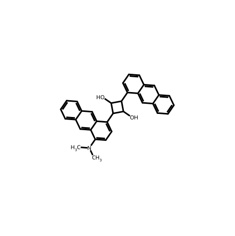 CN(C)c1ccc(C2C(O)C(c3cccc4cc5ccccc5cc34)C2O)c2cc3ccccc3cc12